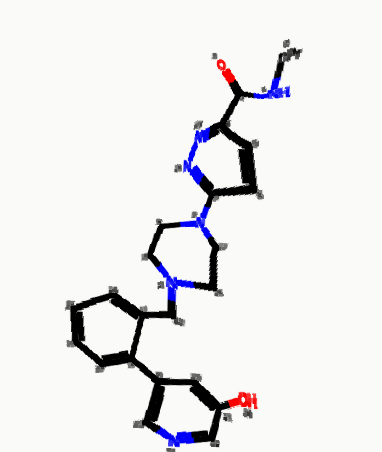 CCCNC(=O)c1ccc(N2CCN(Cc3ccccc3-c3cncc(O)c3)CC2)nn1